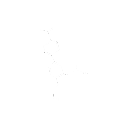 CCCCPCc1ccc(-c2ccc(C(=O)Cl)cc2)cc1CPCCCC